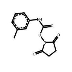 Cc1cccc(NC(=O)ON2C(=O)CCC2=O)c1